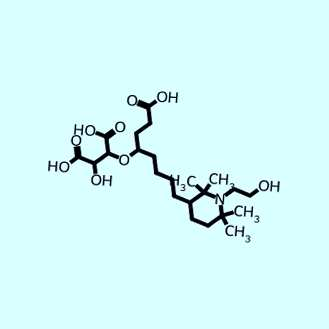 CC1(C)CCC(CCCCC(CCC(=O)O)OC(C(=O)O)C(O)C(=O)O)C(C)(C)N1CCO